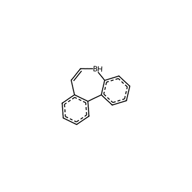 B1C=Cc2ccccc2-c2ccccc21